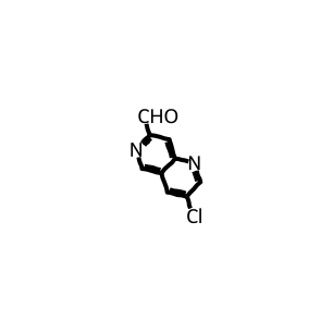 O=Cc1cc2ncc(Cl)cc2cn1